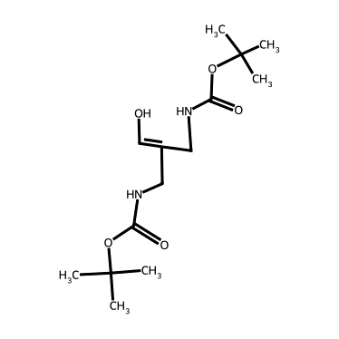 CC(C)(C)OC(=O)NCC(=CO)CNC(=O)OC(C)(C)C